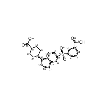 O=C(O)c1cccc(S(=O)(=O)c2cnc3c(N4CCC(C(=O)O)CC4)cccc3c2)c1